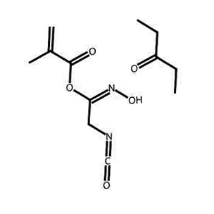 C=C(C)C(=O)OC(CN=C=O)=NO.CCC(=O)CC